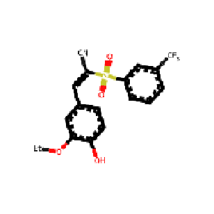 CCOc1cc(C=C(C#N)S(=O)(=O)c2cccc(C(F)(F)F)c2)ccc1O